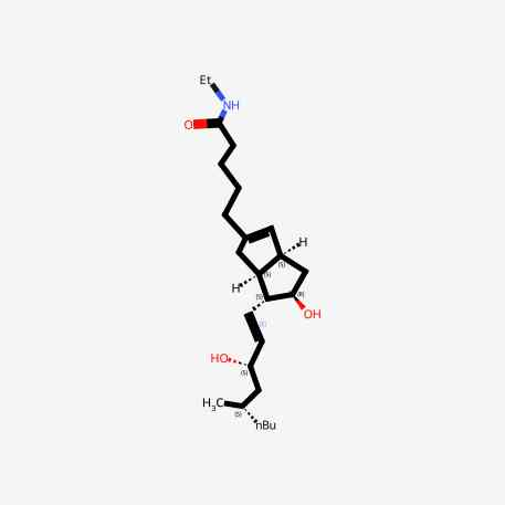 CCCC[C@H](C)C[C@H](O)/C=C/[C@@H]1[C@H]2CC(CCCCC(=O)NCC)=C[C@H]2C[C@H]1O